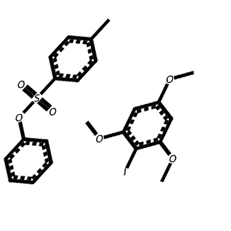 COc1cc(OC)c(I)c(OC)c1.Cc1ccc(S(=O)(=O)Oc2ccccc2)cc1